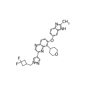 Cc1nc2ccc(Oc3ccc4ncc(-c5cnn(CC6CC(F)(F)C6)c5)nc4c3C3CCOCC3)cc2[nH]1